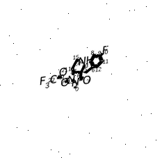 CN1C(=O)[C@@]2(Cc3ccc(F)cc3)CNCCC2N1OC(=O)C(F)(F)F